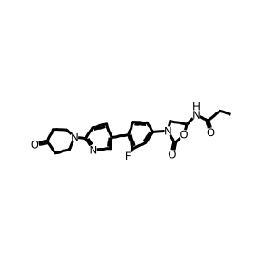 CCC(=O)NC1CN(c2ccc(-c3ccc(N4CCC(=O)CC4)nc3)c(F)c2)C(=O)O1